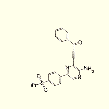 CC(C)S(=O)(=O)c1ccc(-c2cnc(N)c(C#CC(=O)c3ccccc3)n2)cc1